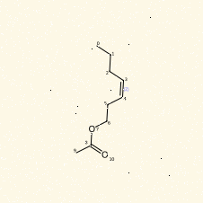 CCC/C=C\CCOC(C)=O